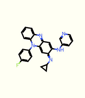 Fc1ccc(-n2c3c/c(=N\C4CC4)c(Nc4cccnc4)cc-3nc3ccccc32)cc1